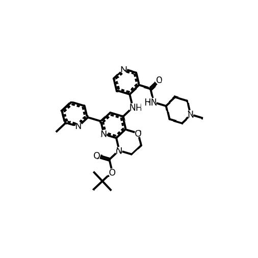 Cc1cccc(-c2cc(Nc3ccncc3C(=O)NC3CCN(C)CC3)c3c(n2)N(C(=O)OC(C)(C)C)CCO3)n1